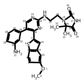 COc1ccc2sc(-c3nc(NCCN4C(=O)NC(=O)C4(C)C)ncc3-c3cccc(N)c3)cc2c1